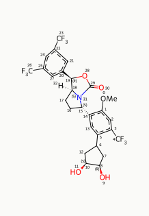 COc1cc(C(F)(F)F)c(C2C[C@@H](O)[C@@H](O)C2)cc1[C@@H]1CC[C@H]2[C@@H](c3cc(C(F)(F)F)cc(C(F)(F)F)c3)OC(=O)N12